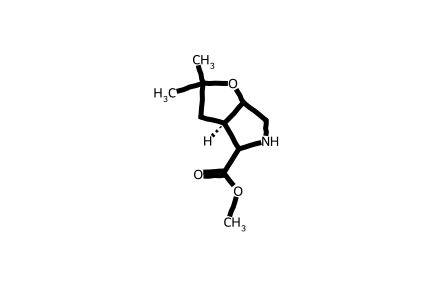 COC(=O)C1NCC2OC(C)(C)C[C@@H]21